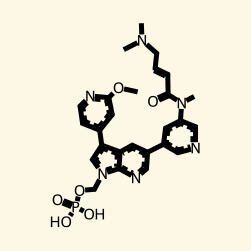 COc1cc(-c2cn(COP(=O)(O)O)c3ncc(-c4cncc(N(C)C(=O)C=CCN(C)C)c4)cc23)ccn1